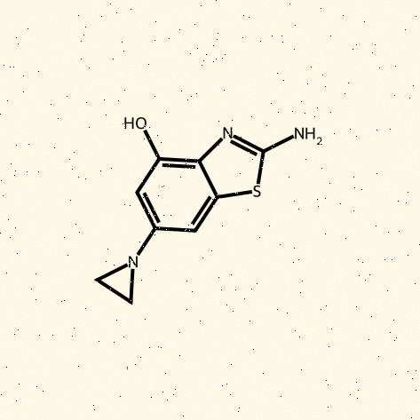 Nc1nc2c(O)cc(N3CC3)cc2s1